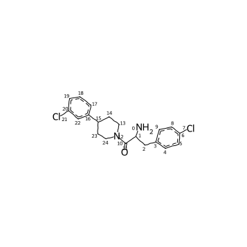 NC(Cc1ccc(Cl)cc1)C(=O)N1CCC(c2cccc(Cl)c2)CC1